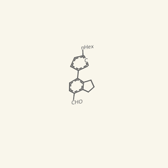 CCCCCCc1ccc(-c2ccc(C=O)c3c2CCC3)cc1